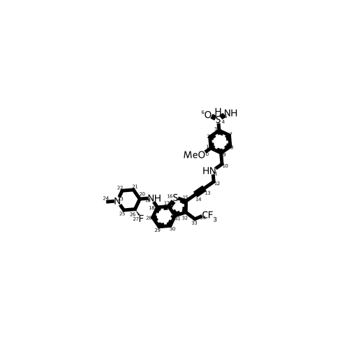 COc1cc([SH](=N)=O)ccc1CNCC#Cc1sc2c(NC3CCN(C)C[C@H]3F)cccc2c1CC(F)(F)F